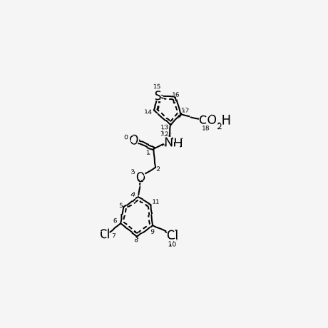 O=C(COc1cc(Cl)cc(Cl)c1)Nc1cscc1C(=O)O